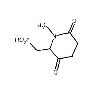 CN1C(=O)CCC(=O)C1CC(=O)O